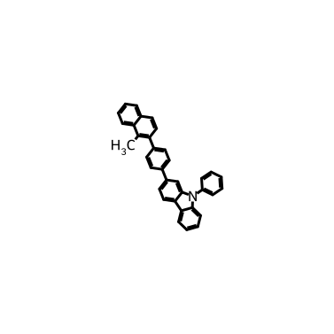 Cc1c(-c2ccc(-c3ccc4c5ccccc5n(-c5ccccc5)c4c3)cc2)ccc2ccccc12